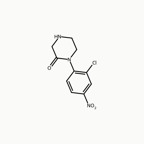 O=C1CNCCN1c1ccc([N+](=O)[O-])cc1Cl